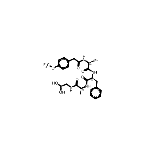 CC(C)[C@H](NC(=O)Cc1ccc(OC(F)(F)F)cc1)C(=O)N[C@@H](Cc1ccccc1)C(=O)N[C@@H](C)C(=O)NCB(O)O